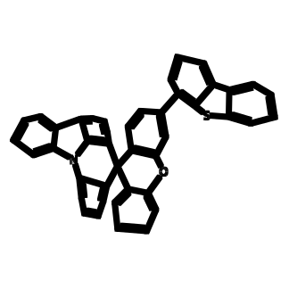 c1ccc2c(c1)Oc1cc(-c3cccc4c3sc3ccccc34)ccc1C21c2ccccc2-n2c3ccccc3c3cccc1c32